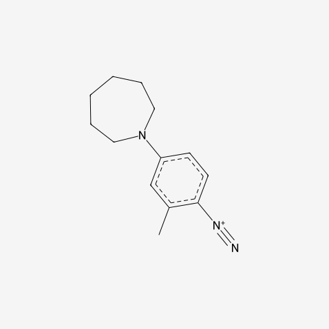 Cc1cc(N2CCCCCC2)ccc1[N+]#N